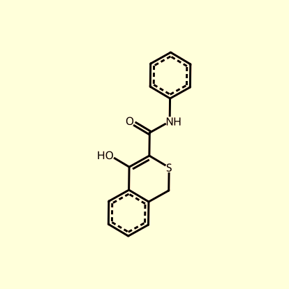 O=C(Nc1ccccc1)C1=C(O)c2ccccc2CS1